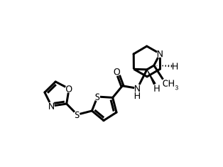 C[C@H]1[C@H](NC(=O)c2ccc(Sc3ncco3)s2)C2CCN1CC2